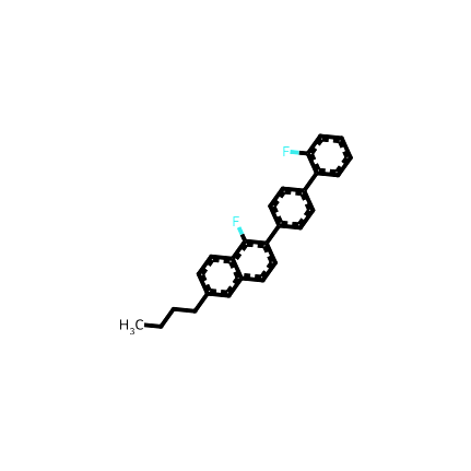 CCCCc1ccc2c(F)c(-c3ccc(-c4ccccc4F)cc3)ccc2c1